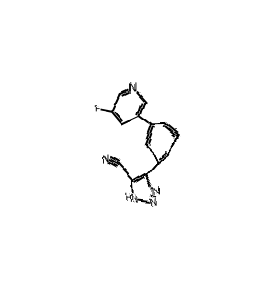 N#Cc1[nH]nnc1-c1cccc(-c2cncc(F)c2)c1